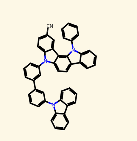 N#Cc1ccc2c(c1)c1c(ccc3c4ccccc4n(-c4ccccc4)c31)n2-c1cccc(-c2cccc(-n3c4ccccc4c4ccccc43)c2)c1